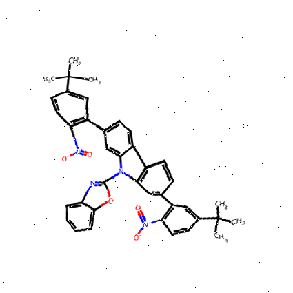 CC(C)(C)c1ccc([N+](=O)[O-])c(-c2ccc3c4ccc(-c5cc(C(C)(C)C)ccc5[N+](=O)[O-])cc4n(-c4nc5ccccc5o4)c3c2)c1